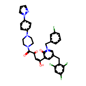 O=C(/C=C(/O)c1cc(Cc2c(F)cc(F)cc2F)cn(Cc2cccc(F)c2)c1=O)C(=O)N1CCN(c2ccc(-n3cccn3)cc2)CC1